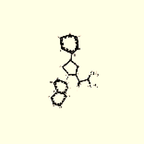 CC(C)C(=O)C1CC(c2ccccc2)C[C@H]1c1ccc2ccccc2c1